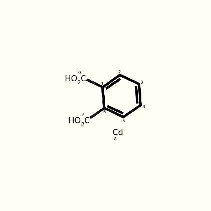 O=C(O)c1ccccc1C(=O)O.[Cd]